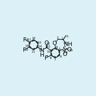 CC1COc2c(ccc(F)c2C(=O)Nc2ccc(F)c(F)c2)S(=O)(=O)N1